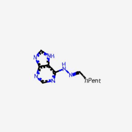 CCCCC/C=N/Nc1ncnc2nc[nH]c12